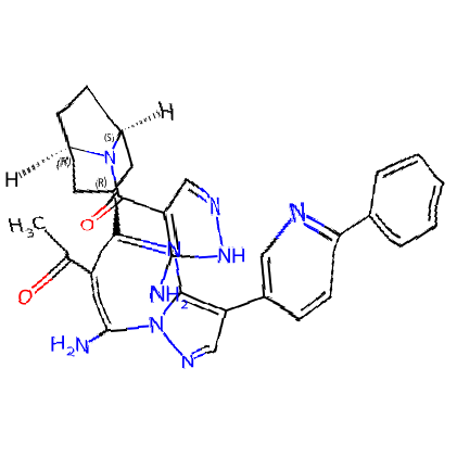 CC(=O)c1c([C@H]2C[C@H]3CC[C@@H](C2)N3C(=O)c2cn[nH]c2N)nc2c(-c3ccc(-c4ccccc4)nc3)cnn2c1N